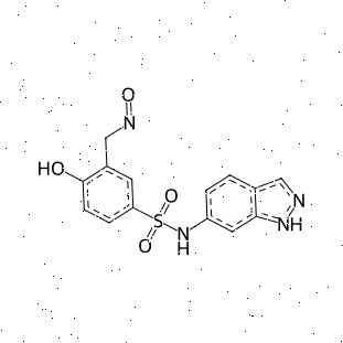 O=NCc1cc(S(=O)(=O)Nc2ccc3cn[nH]c3c2)ccc1O